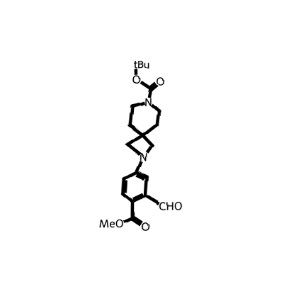 COC(=O)c1ccc(N2CC3(CCN(C(=O)OC(C)(C)C)CC3)C2)cc1C=O